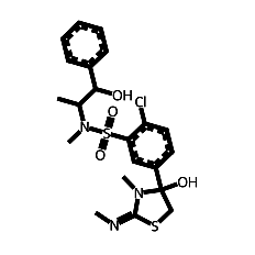 CN=C1SCC(O)(c2ccc(Cl)c(S(=O)(=O)N(C)C(C)C(O)c3ccccc3)c2)N1C